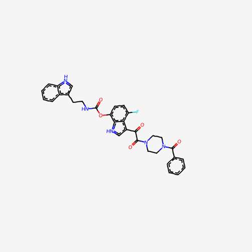 O=C(NCCc1c[nH]c2ccccc12)Oc1ccc(F)c2c(C(=O)C(=O)N3CCN(C(=O)c4ccccc4)CC3)c[nH]c12